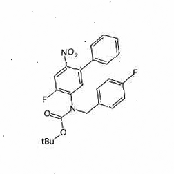 CC(C)(C)OC(=O)N(Cc1ccc(F)cc1)c1cc(-c2ccccc2)c([N+](=O)[O-])cc1F